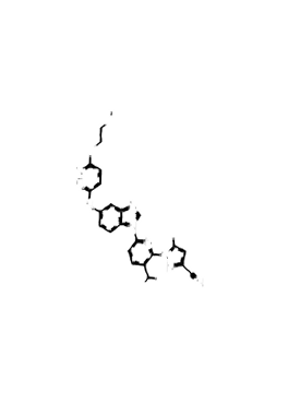 COCCOc1ccc(Nc2ccc3c(c2)ncn3-c2ccc(C(C)O)c(-n3nc(C#N)cc3C)n2)nn1